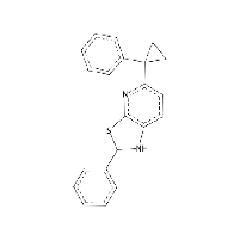 c1ccc(C2Nc3ccc(C4(c5ccccc5)CC4)nc3S2)cc1